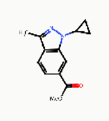 COC(=O)c1ccc2c(C)nn(C3CC3)c2c1